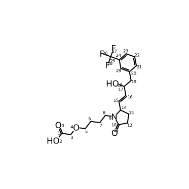 O=C(O)COCCCCN1C(=O)CCC1C=CC(O)Cc1cccc(C(F)(F)F)c1